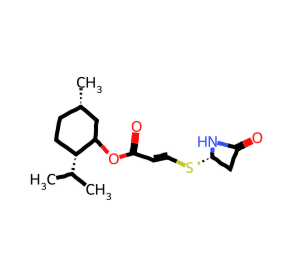 CC(C)[C@@H]1CC[C@H](C)CC1OC(=O)C=CS[C@H]1CC(=O)N1